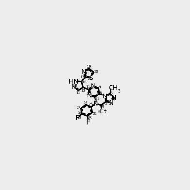 CC[C@@H]1c2nnc(C)n2-c2cnc(C3C=NNC3c3nccs3)nc2N1c1ccc(F)c(F)c1